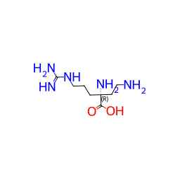 N=C(N)NCCC[C@@](N)(CCN)C(=O)O